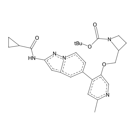 Cc1cc(-c2ccn3nc(NC(=O)C4CC4)cc3c2)c(OCC2CCN2C(=O)OC(C)(C)C)cn1